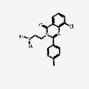 CCN(CC)CCn1c(-c2ccc(C)cc2)nc2c(Cl)cccc2c1=O